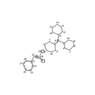 C1CCC(P(C2CCCCC2)C2CCCCC2)CC1.[Cl][Ru]([Cl])[CH2]c1ccccc1